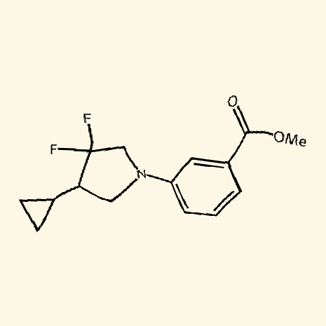 COC(=O)c1cccc(N2CC(C3CC3)C(F)(F)C2)c1